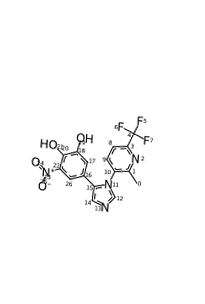 Cc1nc(C(F)(F)F)ccc1-n1cncc1-c1cc(O)c(O)c([N+](=O)[O-])c1